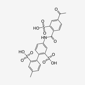 CC(=O)c1ccc(C(=O)Nc2ccc(-c3ccc(C)cc3S(=O)(=O)O)c(S(=O)(=O)O)c2)c(S(=O)(=O)O)c1